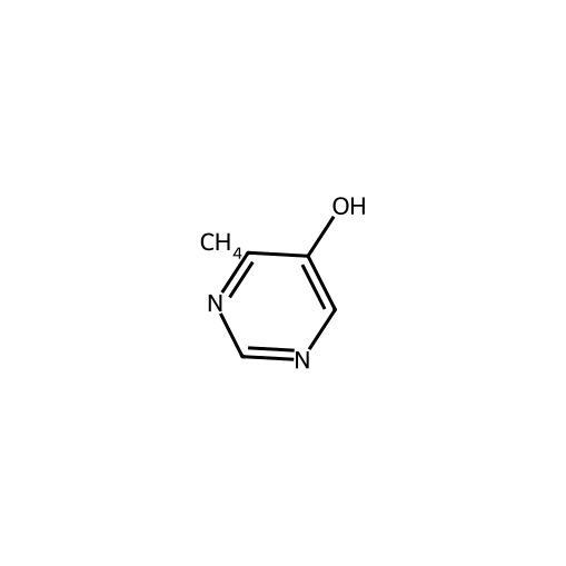 C.Oc1cncnc1